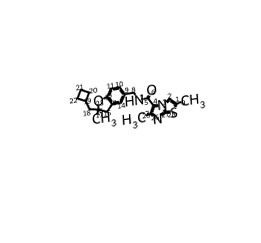 Cc1cn2c(C(=O)NCc3ccc4c(c3)CC(C)(CC3CCC3)O4)c(C)nc2s1